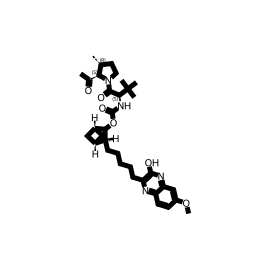 COc1ccc2nc(CCCCC[C@H]3C(OC(=O)N[C@H](C(=O)N4CC[C@@H](C)[C@H]4C(C)=O)C(C)(C)C)[C@H]4C[C@@H]3C4)c(O)nc2c1